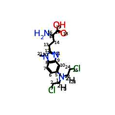 [2H]C(CCl)N(c1ccc2c(c1)nc(CC[C@H](N)C(=O)O)n2C)C([2H])CCl